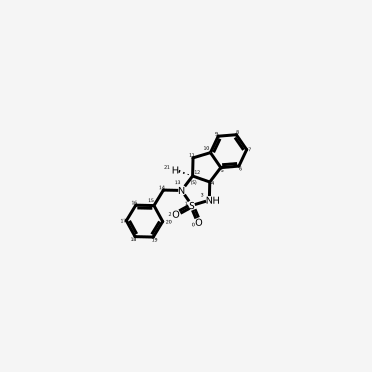 O=S1(=O)NC2c3ccccc3C[C@@H]2N1Cc1ccccc1